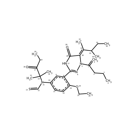 C=C(CCC)N1N=C(c2cc(N(C=S)C(C)(C)C(=O)CC)ccc2OCC)NC(=O)/C1=C(\C)C(C)CC